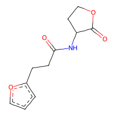 O=C(CCc1ccco1)NC1CCOC1=O